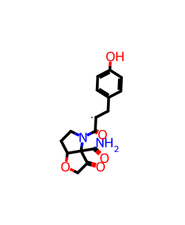 NC(=O)C12C(=O)COC1CCN2C(=O)[CH]Cc1ccc(O)cc1